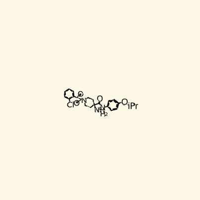 CC(C)Oc1ccc(NC(=O)C2(N)CCN(S(=O)(=O)c3ccccc3Cl)CC2)cc1